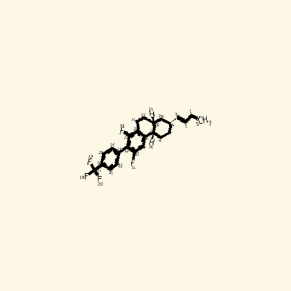 CC/C=C/[C@@H]1CC[C@@H]2c3cc(F)c(-c4ccc(C(F)(F)F)cc4)c(F)c3CC[C@@H]2C1